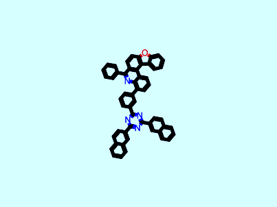 c1ccc(-c2nc3c(-c4cccc(-c5nc(-c6ccc7ccccc7c6)nc(-c6ccc7ccccc7c6)n5)c4)cccc3c3c2ccc2oc4ccccc4c23)cc1